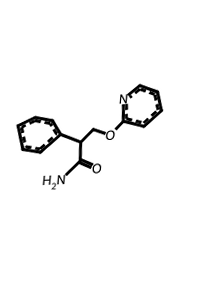 NC(=O)C(COc1ccccn1)c1ccccc1